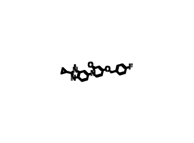 Cn1c(C2CC2)nc2ccc(-n3ccc(OCc4ccc(F)cc4)cc3=O)cc21